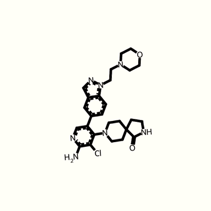 Nc1ncc(-c2ccc3c(cnn3CCN3CCOCC3)c2)c(N2CCC3(CCNC3=O)CC2)c1Cl